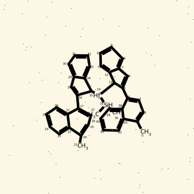 Cc1ccc(C2=Cc3ccccc3[CH]2[Hf]([CH]2C(c3ccc(C)c4ccccc34)=Cc3ccccc32)[SiH](C)C)c2ccccc12